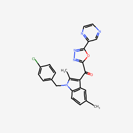 Cc1ccc2c(c1)c(C(=O)c1nnc(-c3cnccn3)o1)c(C)n2Cc1ccc(Cl)cc1